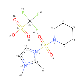 Cc1n(S(=O)(=O)N2CCCCC2)cc[n+]1C.O=S(=O)([O-])C(F)(F)F